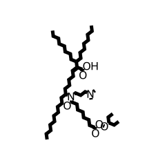 CCCCCCCCCCC(CCCCC=C(C(=O)O)C(CCCCCCCC)CCCCCCCC)N(CCCN(C)C)C(=O)CCCCCCC(=O)OOC(CC)CC